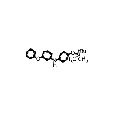 CC(C)(C)[Si](C)(C)Oc1ccc(Nc2cccc(Oc3ccccc3)c2)cc1